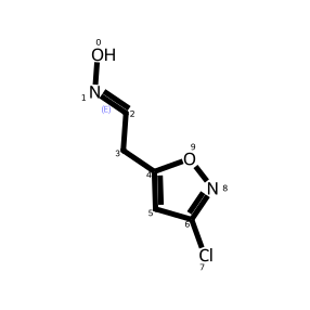 O/N=C/Cc1cc(Cl)no1